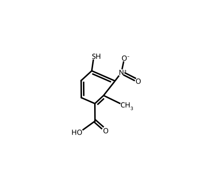 Cc1c(C(=O)O)ccc(S)c1[N+](=O)[O-]